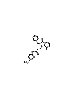 O=C(CCC1c2c(F)cccc2C(=O)N1Cc1ccc(F)cc1)Nc1ccc(C(=O)O)cn1